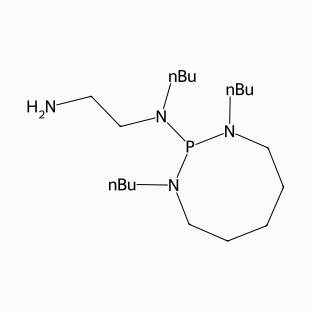 CCCCN(CCN)P1N(CCCC)CCCCCN1CCCC